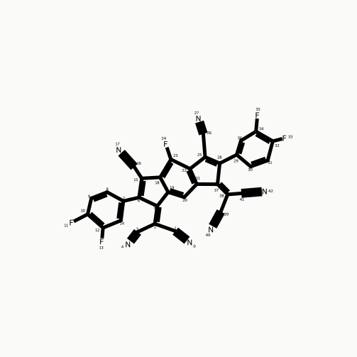 N#CC(C#N)=C1C(c2ccc(F)c(F)c2)=C(C#N)c2c1cc1c(c2F)C(C#N)=C(c2ccc(F)c(F)c2)C1=C(C#N)C#N